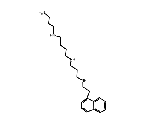 NCCCNCCCCNCCCNCCc1cccc2ccccc12